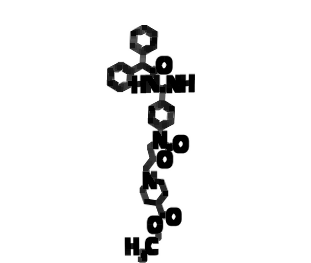 CCOC(=O)C1CCN(CC2CN(c3ccc(C(=N)NC(=O)C(c4ccccc4)c4ccccc4)cc3)C(=O)O2)CC1